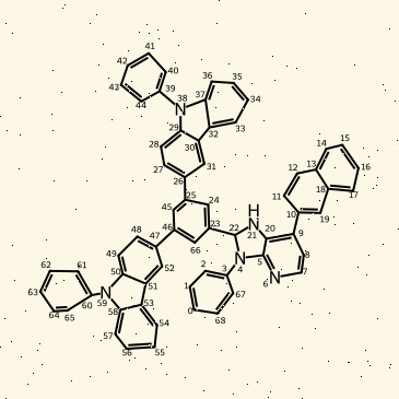 c1ccc(N2c3nccc(-c4ccc5ccccc5c4)c3NC2c2cc(-c3ccc4c(c3)c3ccccc3n4-c3ccccc3)cc(-c3ccc4c(c3)c3ccccc3n4-c3ccccc3)c2)cc1